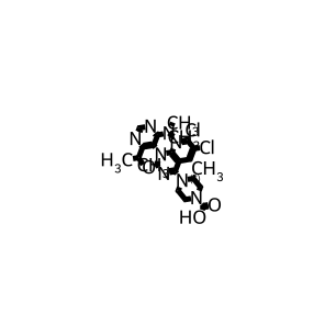 CC(C)c1ncnc(N(C)C)c1-n1c(=O)nc(N2CCN(C(=O)O)C[C@@H]2C)c2cc(Cl)c(Cl)nc21